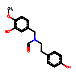 COc1ccc(CN(C=O)CCc2ccc(O)cc2)cc1O